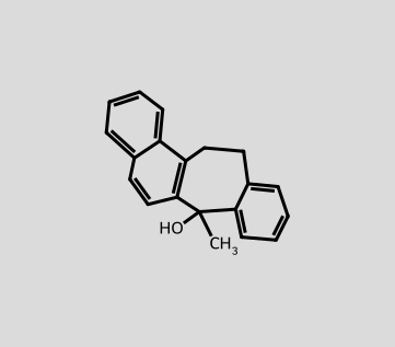 CC1(O)c2ccccc2CCc2c1ccc1ccccc21